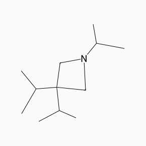 CC(C)N1CC(C(C)C)(C(C)C)C1